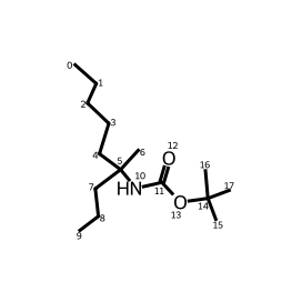 CCCCCC(C)(CCC)NC(=O)OC(C)(C)C